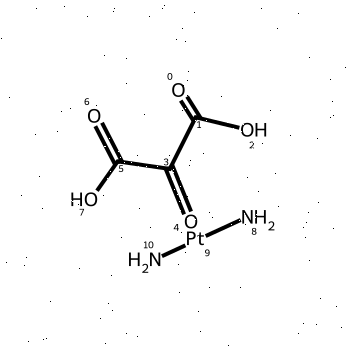 O=C(O)C(=O)C(=O)O.[NH2][Pt][NH2]